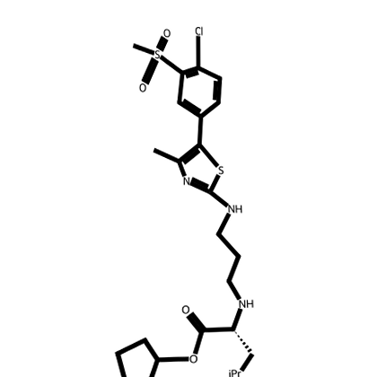 Cc1nc(NCCCN[C@H](CC(C)C)C(=O)OC2CCCC2)sc1-c1ccc(Cl)c(S(C)(=O)=O)c1